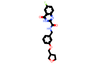 O=C(NCc1cccc(OCC2CCOC2)c1)c1nc2ccc(F)cc2c(=O)[nH]1